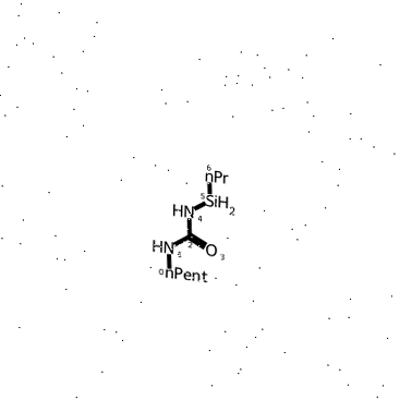 CCCCCNC(=O)N[SiH2]CCC